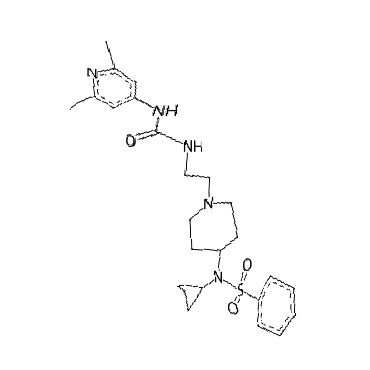 Cc1cc(NC(=O)NCCN2CCC(N(C3CC3)S(=O)(=O)c3ccccc3)CC2)cc(C)n1